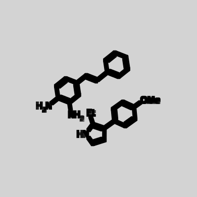 CCc1[nH]ccc1-c1ccc(OC)cc1.Nc1ccc(C=Cc2ccccc2)cc1N